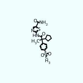 CC(C(=O)Nc1ncc(C(N)=O)s1)(c1ccc(S(C)(=O)=O)cc1)C1CCCC1